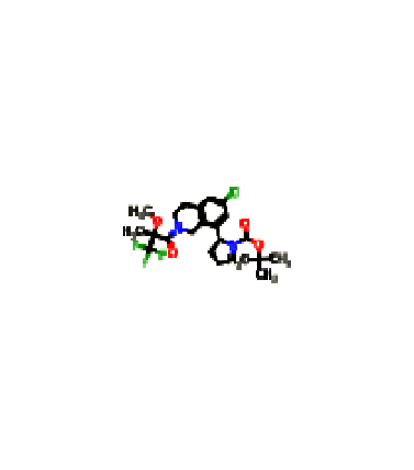 COC(C)(C(=O)N1CCc2cc(Cl)cc([C@@H]3CCCN3C(=O)OC(C)(C)C)c2C1)C(F)(F)F